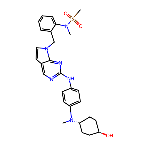 CN(c1ccccc1Cn1ccc2cnc(Nc3ccc(N(C)[C@H]4CC[C@H](O)CC4)cc3)nc21)S(C)(=O)=O